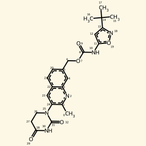 Cc1nc2cc(COC(=O)Nc3cc(C(C)(C)C)no3)ccc2cc1N1CCC(=O)NC1=O